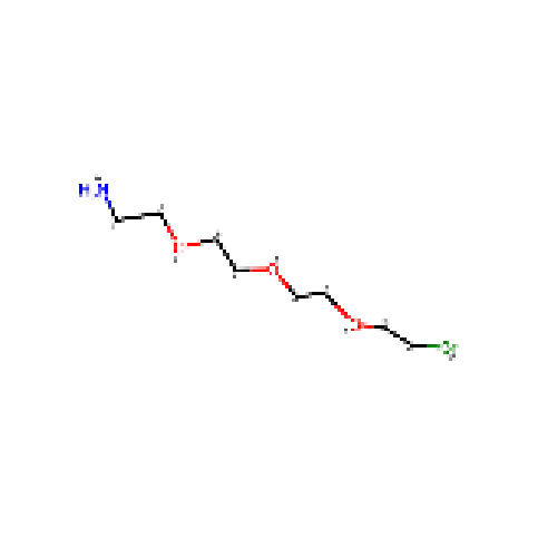 NCCOCCOCCOCCBr